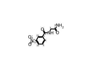 NC(=O)CNC(=O)c1cccc([N+](=O)[O-])c1